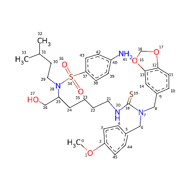 COc1ccc(CN(Cc2ccc3c(c2)OCO3)C(=S)NCCCCC(CO)N(CCC(C)C)S(=O)(=O)c2ccc(N)cc2)cc1